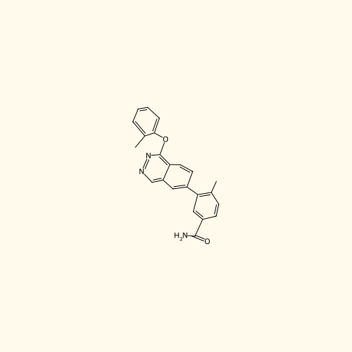 Cc1ccccc1Oc1nncc2cc(-c3cc(C(N)=O)ccc3C)ccc12